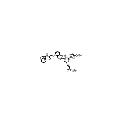 COC(=O)/C=C/CC[C@H](NC(=O)c1ncc(OC)o1)C(=O)Nc1cccn(CCC(=O)NC2C3CC4CC(C3)CC2C4)c1=O